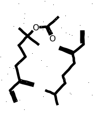 C=CC(=C)CCCC(C)(C)OC(C)=O.C=CC(=C)CCCC(C)C